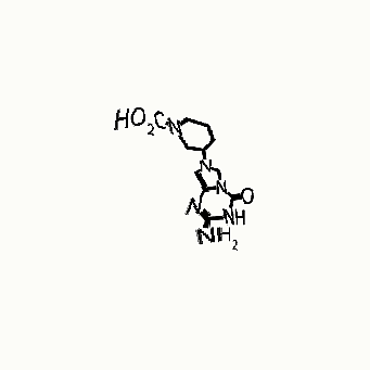 NC1=NC2=CN(C3CCCN(C(=O)O)C3)CN2C(=O)N1